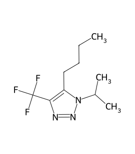 CCCCc1c(C(F)(F)F)nnn1C(C)C